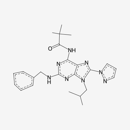 CC(C)Cn1c(-n2cccn2)nc2c(NC(=O)C(C)(C)C)nc(NCc3ccccc3)nc21